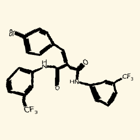 O=C(Nc1cccc(C(F)(F)F)c1)C(=Cc1ccc(Br)cc1)C(=O)Nc1cccc(C(F)(F)F)c1